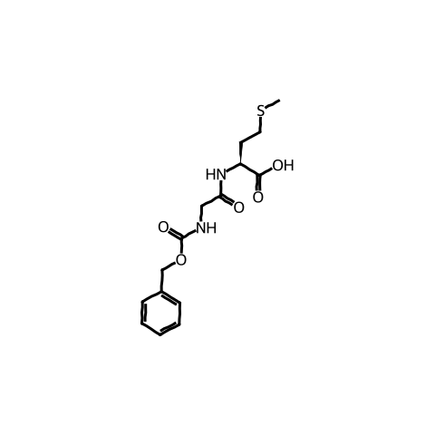 CSCC[C@H](NC(=O)CNC(=O)OCc1ccccc1)C(=O)O